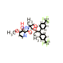 COc1ccnc(C(=O)N[C@](C)(C=O)CO[C@@H](C)C(c2ccc(C(F)(F)F)cc2)c2ccc(C(F)(F)F)cc2)c1O